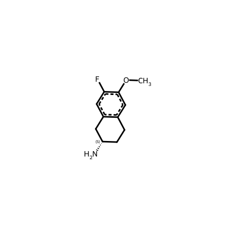 COc1cc2c(cc1F)C[C@@H](N)CC2